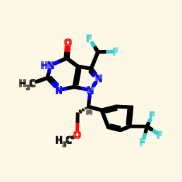 COC[C@@H](c1ccc(C(F)(F)F)cc1)n1nc(C(F)F)c2c(=O)[nH]c(C)nc21